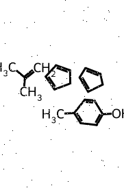 C1=CCC=C1.C1=CCC=C1.C=C(C)C.Cc1ccc(O)cc1